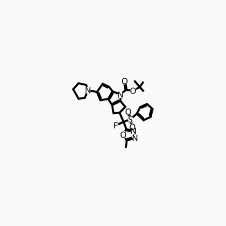 Cc1nnc(C(F)(C2Cc3c(n(C(=O)OC(C)(C)C)c4ccc(N5CCCCC5)cc34)C2)S(=O)(=O)c2ccccc2)o1